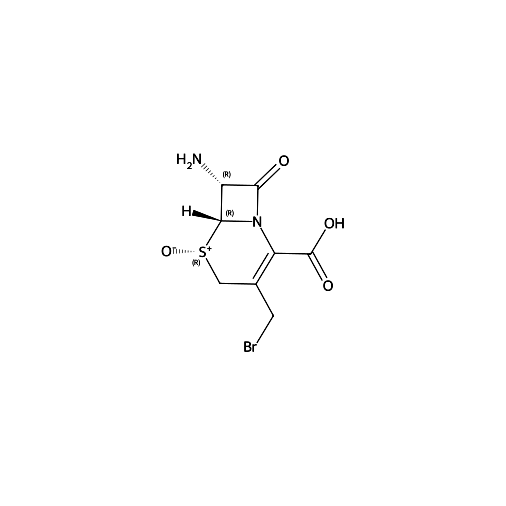 N[C@@H]1C(=O)N2C(C(=O)O)=C(CBr)C[S@+]([O-])[C@H]12